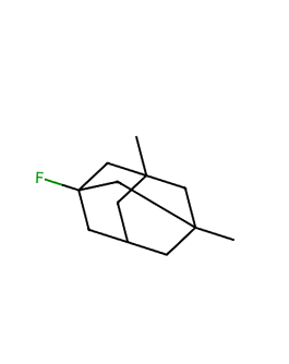 CC12CC3CC(C)(C1)CC(F)(C3)C2